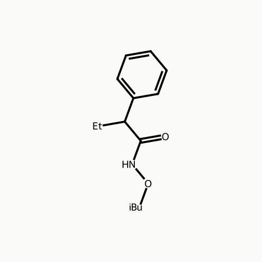 CCC(C)ONC(=O)C(CC)c1ccccc1